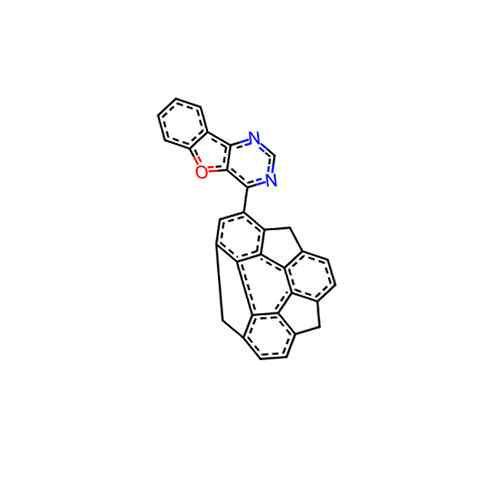 c1ccc2c(c1)oc1c(-c3cc4c5c6c(ccc7c6c6c(ccc8c6c5c3C8)C7)C4)ncnc12